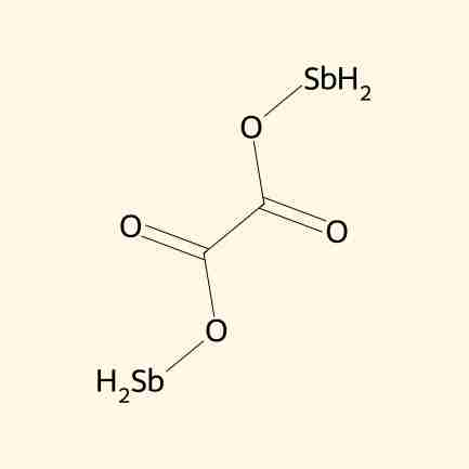 O=C([O][SbH2])C(=O)[O][SbH2]